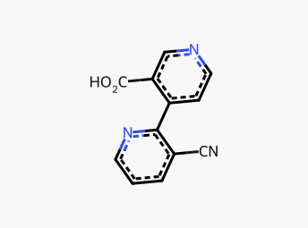 N#Cc1cccnc1-c1ccncc1C(=O)O